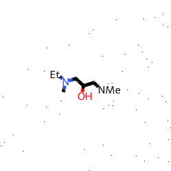 CCN(C)CC(O)CNC